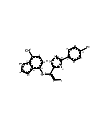 [C-]#[N+]c1ccc(NC(=CC)c2nnc(-c3ccc(F)cc3)o2)c2ccsc12